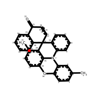 Cc1ccc2c(c1)N1c3ccccc3C3(c4ccccc4C(=O)c4ccccc43)c3c(C)ccc(c31)O2